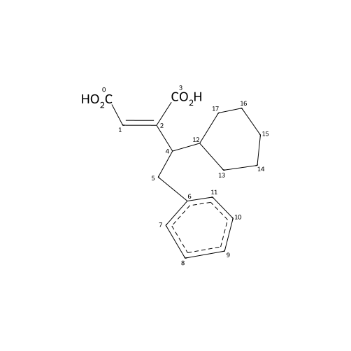 O=C(O)C=C(C(=O)O)C(Cc1ccccc1)C1CCCCC1